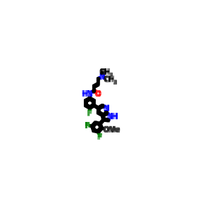 COc1c(F)cc(F)cc1-c1c[nH]c2ncc(-c3cc(NC(=O)C=CCN(C)C)ccc3F)cc12